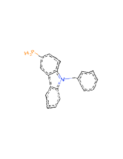 Pc1ccc2c(c1)c1ccccc1n2-c1ccccc1